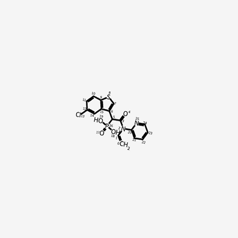 C=CN(C(=O)C(c1csc2ccc(Cl)cc12)P(=O)(O)O)c1ccccn1